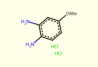 COc1ccc(N)c(N)c1.Cl.Cl